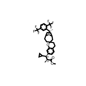 COC(=O)[C@@H](C)[C@H](c1ccc2c(c1)OC1(CC2)CCC2CCC(C1)N2[C@@H](C)c1cc(C(F)(F)F)ccc1C(F)(F)F)C1CC1